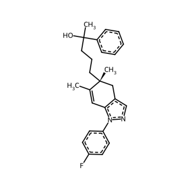 CC1=Cc2c(cnn2-c2ccc(F)cc2)C[C@@]1(C)CCCC(C)(O)c1ccccc1